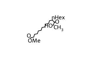 CCCCCCC(CCCCCCCCCCC(=O)OC)C(=O)C(C)O